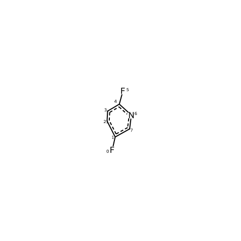 Fc1[c]cc(F)nc1